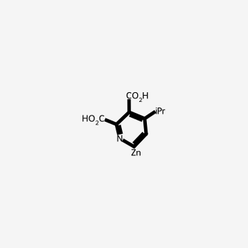 CC(C)c1ccnc(C(=O)O)c1C(=O)O.[Zn]